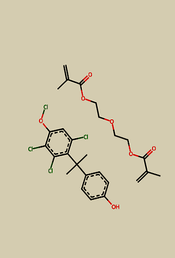 C=C(C)C(=O)OCCOCCOC(=O)C(=C)C.CC(C)(c1ccc(O)cc1)c1c(Cl)cc(OCl)c(Cl)c1Cl